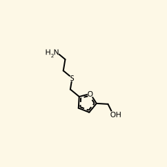 NCCSCc1ccc(CO)o1